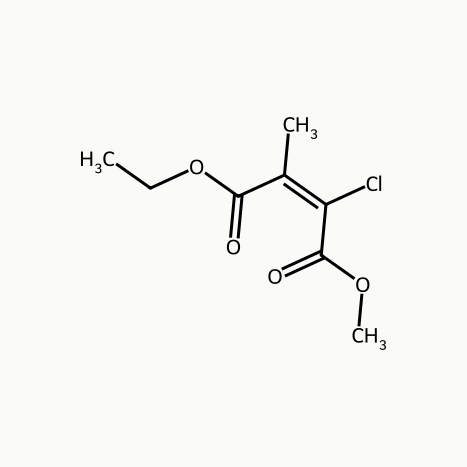 CCOC(=O)/C(C)=C(/Cl)C(=O)OC